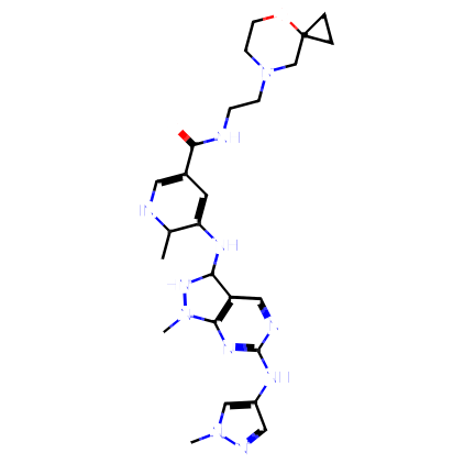 CC1NC=C(C(=O)NCCN2CCOC3(CC3)C2)C=C1NC1NN(C)c2nc(Nc3cnn(C)c3)ncc21